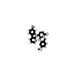 COc1ccc(CN2C(=O)CCC(n3c4cc(Br)ccc4c4cccnc43)C2=O)cc1